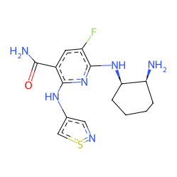 NC(=O)c1cc(F)c(N[C@@H]2CCCC[C@@H]2N)nc1Nc1cnsc1